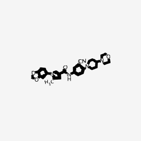 Cc1cc(C(=O)Nc2ccc(N3CCC(N4CCOCC4)CC3)c(C#N)c2)cn1-c1ccc2c(c1)OCO2